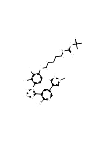 Cn1cc(-c2cnc(N)c(-c3nnnn3-c3ccc(OCCCCCNC(=O)OC(C)(C)C)c(F)c3F)c2)cn1